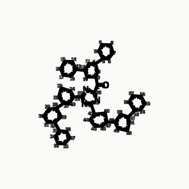 O=C(c1cc(-c2ccccc2)cc(-c2ccccc2)c1)c1nc(-c2cccc(-c3cccc(-c4ccccc4)c3)c2)nc(-c2cccc(-c3cccc(-c4ccccc4)c3)c2)n1